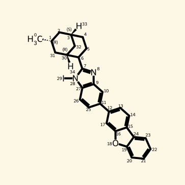 C[C@@H]1C[C@@H]2CCC(c3nc4cc(-c5ccc6c(c5)oc5ccccc56)ccc4n3I)[C@H](C1)C2